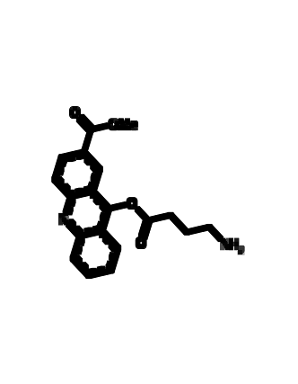 COC(=O)c1ccc2nc3ccccc3c(OC(=O)CCCN)c2c1